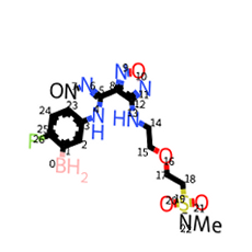 Bc1cc(N/C(=N\N=O)c2nonc2NCCOCCS(=O)(=O)NC)ccc1F